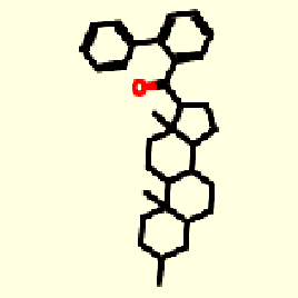 CC1CCC2(C)C(CCC3C2CCC2(C)C(C(=O)c4ccccc4-c4ccccc4)CCC32)C1